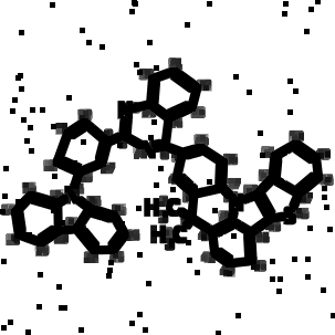 CC1(C)c2cc(-c3nc(-c4cccc(-n5c6ccccc6c6ccccc65)c4)nc4ccccc34)ccc2-n2c3c1cccc3c1sc3ccccc3c12